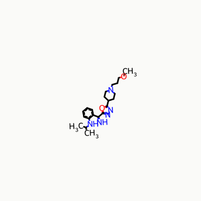 COCCCN1CCC(c2nnc(C(=N)c3ccccc3NC(C)C)o2)CC1